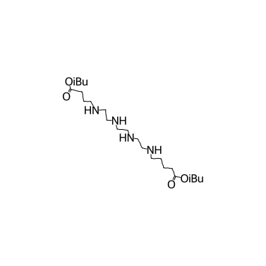 CC(C)COC(=O)CCCCNCCNCCNCCNCCCC(=O)OCC(C)C